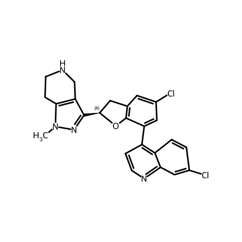 Cn1nc([C@H]2Cc3cc(Cl)cc(-c4ccnc5cc(Cl)ccc45)c3O2)c2c1CCNC2